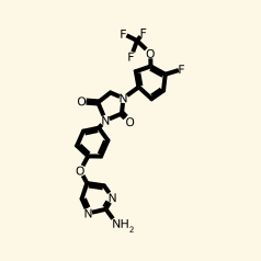 Nc1ncc(Oc2ccc(N3C(=O)CN(c4ccc(F)c(OC(F)(F)F)c4)C3=O)cc2)cn1